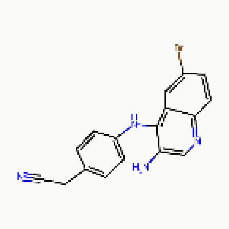 N#CCc1ccc(Nc2c(N)cnc3ccc(Br)cc23)cc1